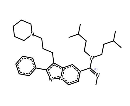 C/N=C(\c1ccn2nc(-c3ccccc3)c(CCCN3CCCCC3)c2c1)N(CCC(C)C)CCC(C)C